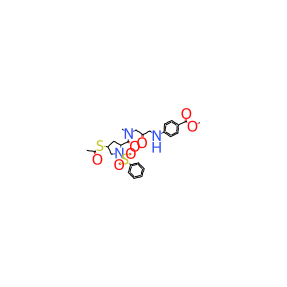 COC(=O)c1ccc(NCC(=O)CN(C)C(=O)C2CC(SC(C)=O)CN2S(=O)(=O)c2ccccc2)cc1